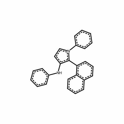 c1ccc(Nc2ccn(-c3ccccc3)c2-c2cccc3ccccc23)cc1